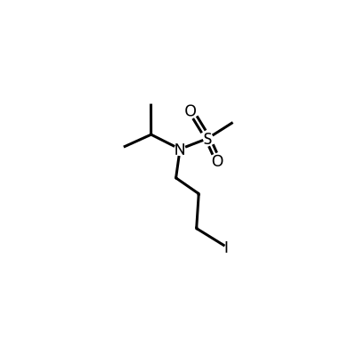 CC(C)N(CCCI)S(C)(=O)=O